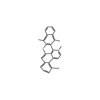 Cc1c2c(c(C)c3ccccc13)-c1c3c(cc4cccc(C(C)C)c4c3cc[n+]1C)S2